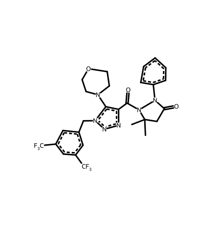 CC1(C)CC(=O)N(c2ccccc2)N1C(=O)c1nnn(Cc2cc(C(F)(F)F)cc(C(F)(F)F)c2)c1N1CCOCC1